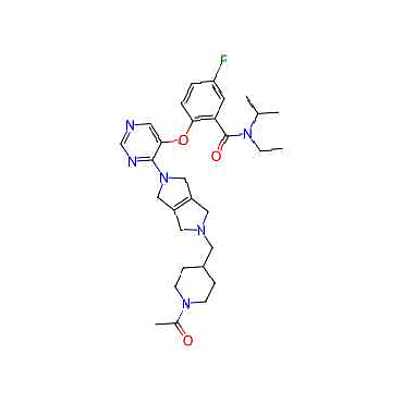 CCN(C(=O)c1cc(F)ccc1Oc1cncnc1N1CC2=C(CN(CC3CCN(C(C)=O)CC3)C2)C1)C(C)C